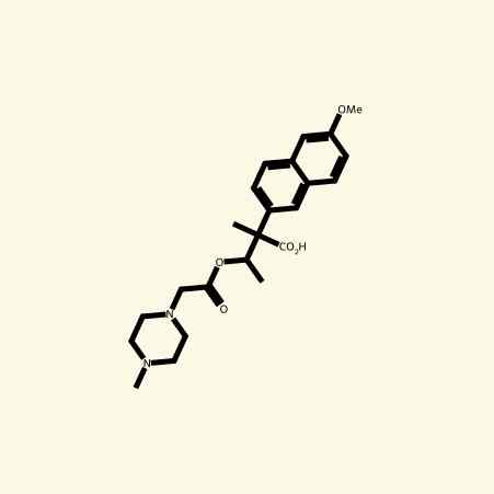 COc1ccc2cc(C(C)(C(=O)O)C(C)OC(=O)CN3CCN(C)CC3)ccc2c1